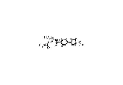 CCOc1ccc(-c2ccc(C(=O)N[C@@H](CCC(N)=O)C(=O)O)cc2)cc1